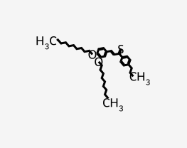 CCCCCCCCCCOc1ccc(C=CC(=S)c2ccc(CCC)cc2)cc1OCCCCCCCCCC